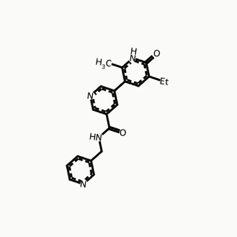 CCc1cc(-c2cncc(C(=O)NCc3cccnc3)c2)c(C)[nH]c1=O